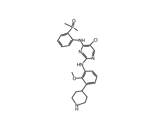 COc1c(Nc2ncc(Cl)c(Nc3ccccc3P(C)(C)=O)n2)cccc1C1CCNCC1